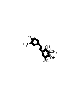 CCCCc1cc(C=Cc2ccc(O)c(C)c2)c(C)c(C)c1O